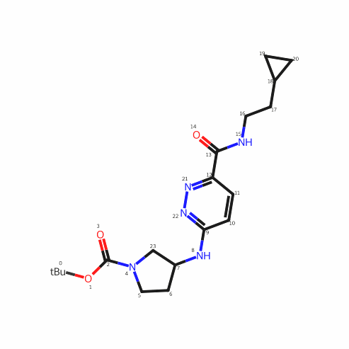 CC(C)(C)OC(=O)N1CCC(Nc2ccc(C(=O)NCCC3CC3)nn2)C1